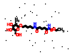 CCOONC(=O)CCCC(=O)NCCCCCO[C@@H]1O[C@H](CO)[C@H](O)[C@H](O)[C@H]1C